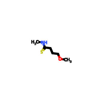 CNC(=S)CCCOC